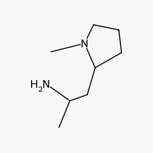 CC(N)CC1CCCN1C